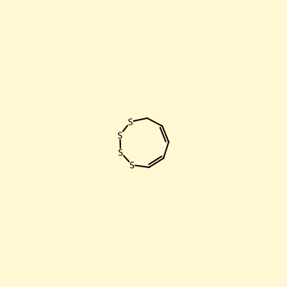 C1=C\CSSSS\C=C/1